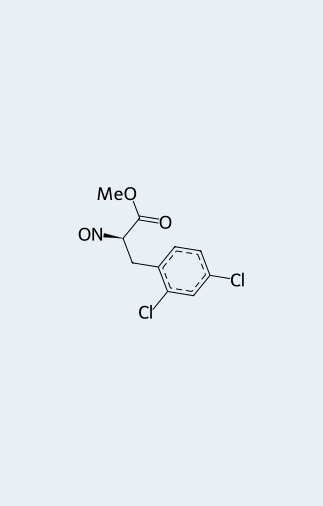 COC(=O)[C@@H](Cc1ccc(Cl)cc1Cl)N=O